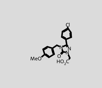 COc1ccc(Cn2c(-c3ccc(Cl)cc3)nn(CC(=O)O)c2=O)cc1